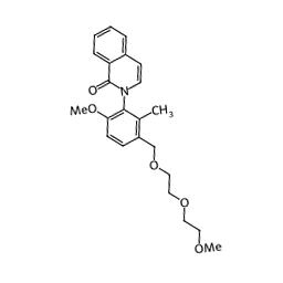 COCCOCCOCc1ccc(OC)c(-n2ccc3ccccc3c2=O)c1C